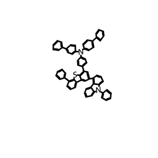 c1ccc(-c2ccc(N(c3ccc(-c4ccccc4)cc3)c3ccc(-c4cc(-c5cccc6c5c5ccccc5n6-c5ccccc5)cc5c4sc4c(-c6ccccc6)cccc45)cc3)cc2)cc1